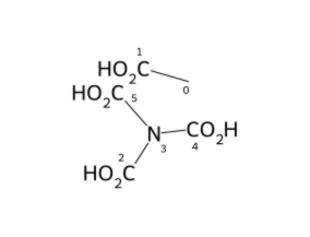 CC(=O)O.O=C(O)N(C(=O)O)C(=O)O